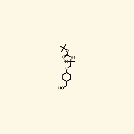 [2H]C(C)(COC1CCC(CO)CC1)NC(=O)OC(C)(C)C